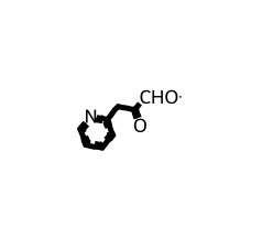 O=[C]C(=O)Cc1ccccn1